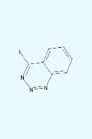 Ic1nnnc2ccccc12